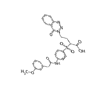 COc1cccc(CC(=O)Nc2ccc(S(=O)(=O)C(CCn3nnc4ccccc4c3=O)C(=O)O)cc2)c1